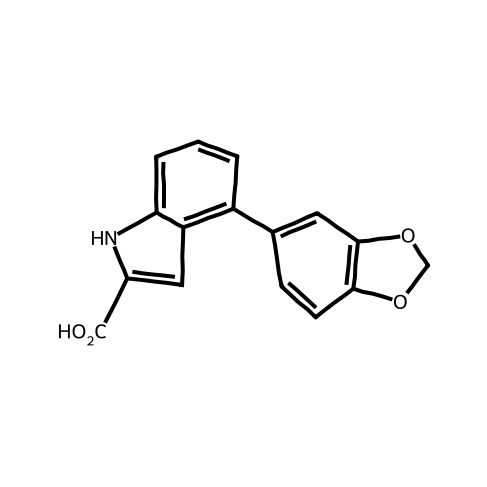 O=C(O)c1cc2c(-c3ccc4c(c3)OCO4)cccc2[nH]1